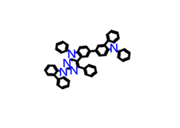 c1ccc(-c2nc(-n3c4ccccc4c4ccccc43)nc3c2c2cc(-c4ccc5c(c4)c4ccccc4n5-c4ccccc4)ccc2n3-c2ccccc2)cc1